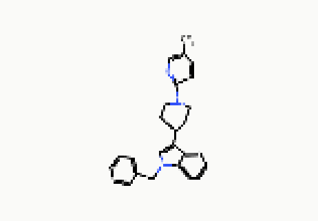 FC(F)(F)c1ccc(N2CCC(c3cn(Cc4ccccc4)c4ccccc34)CC2)nc1